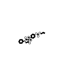 C=CCOC(=O)Oc1ccc(S(=O)(=O)N2C(=O)CN(c3ccccc3)C2=O)cc1